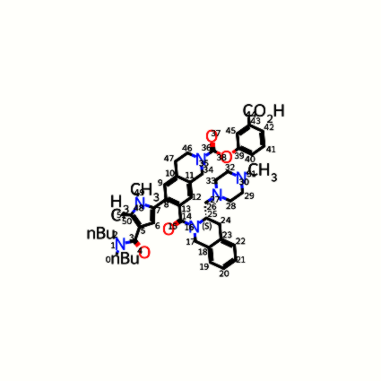 CCCCN(CCCC)C(=O)c1cc(-c2cc3c(cc2C(=O)N2Cc4ccccc4C[C@H]2CN2CCN(C)CC2)CN(C(=O)Oc2cccc(C(=O)O)c2)CC3)n(C)c1C